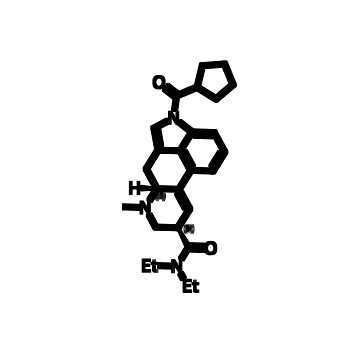 CCN(CC)C(=O)[C@@H]1C=C2c3cccc4c3c(cn4C(=O)C3CCCC3)C[C@H]2N(C)C1